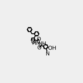 N#Cc1cc(C(=O)NNC(=O)c2occc2-c2ccccc2Cc2ccccc2)ccc1O